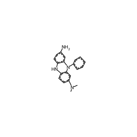 CN(C)c1ccc2c(c1)N(c1ccccc1)c1cc(N)ccc1N2